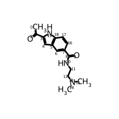 CC(=O)c1cc2cc(C(=O)NCCN(C)C)ccc2[nH]1